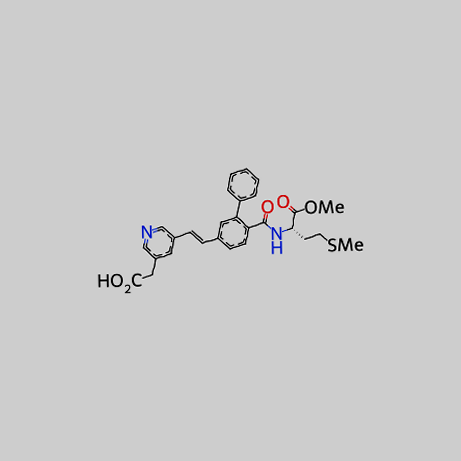 COC(=O)[C@H](CCSC)NC(=O)c1ccc(C=Cc2cncc(CC(=O)O)c2)cc1-c1ccccc1